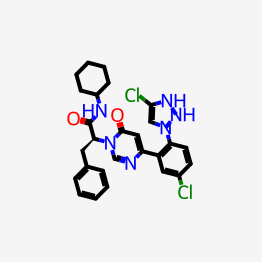 O=C(NC1CCCCC1)[C@H](Cc1ccccc1)n1cnc(-c2cc(Cl)ccc2N2C=C(Cl)NN2)cc1=O